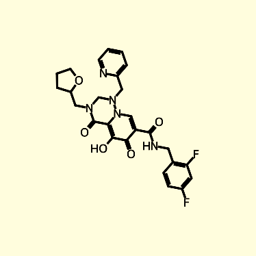 O=C(NCc1ccc(F)cc1F)c1cn2c(c(O)c1=O)C(=O)N(CC1CCCO1)CN2Cc1ccccn1